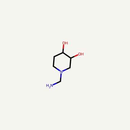 NCN1CCC(O)C(O)C1